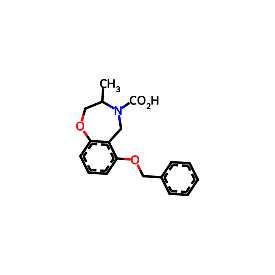 CC1COc2cccc(OCc3ccccc3)c2CN1C(=O)O